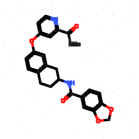 CNC(=O)c1cc(Oc2ccc3c(c2)CC(NC(=O)c2ccc4c(c2)OCO4)CC3)ccn1